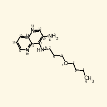 CCCCOCCCNc1c(N)cnc2cccnc12